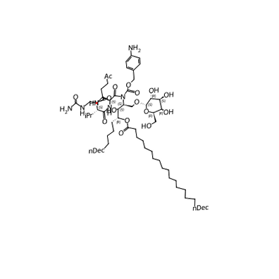 CCCCCCCCCCCCCCCCCCCCCCCCCC(=O)O[C@H](CCCCCCCCCCCCCC)[C@@H](O)[C@H](CO[C@H]1O[C@H](CO)[C@H](O)[C@H](O)[C@H]1O)N(C(=O)OCc1ccc(N)cc1)C(=O)[C@H](CCCNC(N)=O)NC(=O)[C@@H](NC(=O)CCC(C)=O)C(C)C